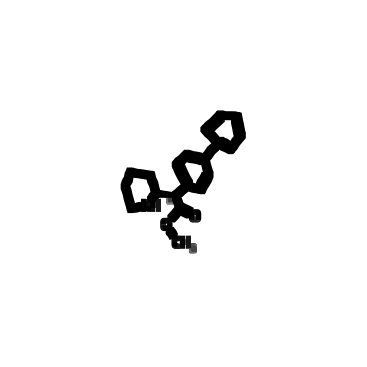 COC(=O)[C@H](c1ccc(-c2ccccc2)cc1)C1CCCCN1